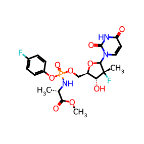 COC(=O)[C@H](C)NP(=O)(OC[C@H]1OC(n2ccc(=O)[nH]c2=O)[C@](C)(F)[C@@H]1O)Oc1ccc(F)cc1